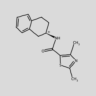 Cc1nc(C)c(C(=O)N[C@@H]2CCc3ccccc3C2)s1